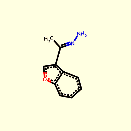 CC(=NN)c1coc2ccccc12